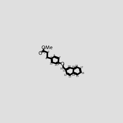 COC(=O)CCc1ccc(OCc2ccc3ccccc3c2)cc1